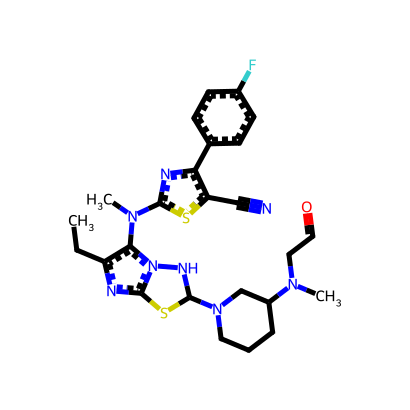 CCc1nc2n(c1N(C)c1nc(-c3ccc(F)cc3)c(C#N)s1)NC(N1CCCC(N(C)CC=O)C1)S2